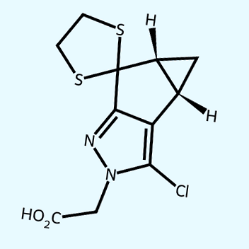 O=C(O)Cn1nc2c(c1Cl)[C@H]1C[C@H]1C21SCCS1